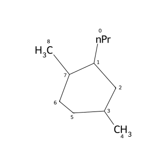 CCCC1CC(C)CCC1C